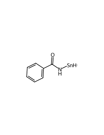 O=C([NH][SnH])c1ccccc1